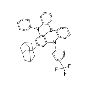 FC(F)(F)c1ccc(N2c3ccccc3B3c4ccccc4N(c4ccccc4)c4cc(C56CC7CC(CC(C7)C5)C6)cc2c43)cc1